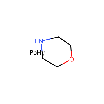 C1COCCN1.[PbH2]